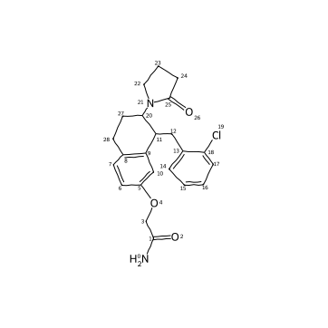 NC(=O)COc1ccc2c(c1)C(Cc1ccccc1Cl)C(N1CCCC1=O)CC2